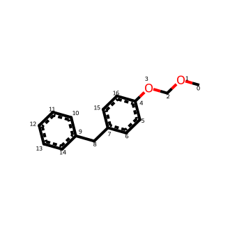 COCOc1ccc(Cc2ccccc2)cc1